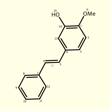 COc1ccc(/C=C/c2ccccc2)cc1O